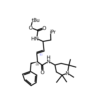 CC(C)CC(/C=C/[C@H](Cc1ccccc1)C(=O)NC1CC(C)(C)N(C)C(C)(C)C1)NC(=O)OC(C)(C)C